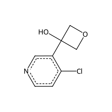 OC1(c2cnccc2Cl)COC1